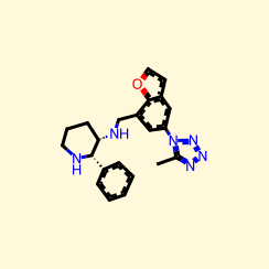 Cc1nnnn1-c1cc(CN[C@H]2CCCN[C@H]2c2ccccc2)c2occc2c1